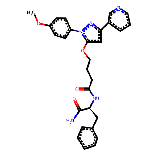 COc1ccc(-n2nc(-c3cccnc3)cc2OCCCC(=O)N[C@@H](Cc2ccccc2)C(N)=O)cc1